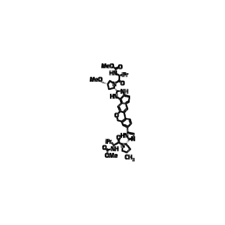 COC[C@H]1C[C@@H](C2Nc3ccc4cc5c(cc4c3N2)OCc2cc(-c3cnc([C@@H]4C[C@H](C)CN4C(=O)[C@@H](NC(=O)OC)C(C)C)[nH]3)ccc2-5)N(C(=O)[C@@H](NC(=O)OC)C(C)C)C1